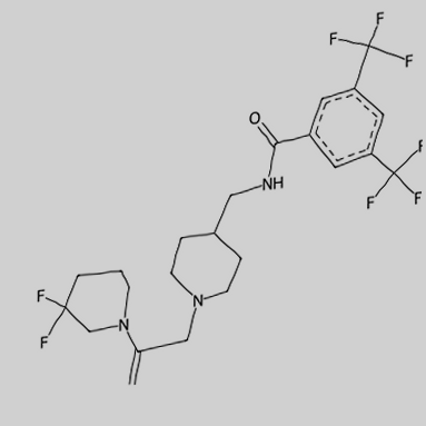 C=C(CN1CCC(CNC(=O)c2cc(C(F)(F)F)cc(C(F)(F)F)c2)CC1)N1CCCC(F)(F)C1